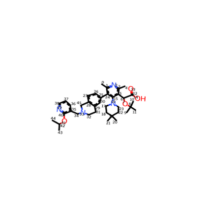 Cc1nc(C)c(C(OC(C)(C)C)C(=O)O)c(N2CCC(C)(C)CC2)c1-c1ccc2c(c1)CCN(Cc1cccnc1OC(C)C)C2